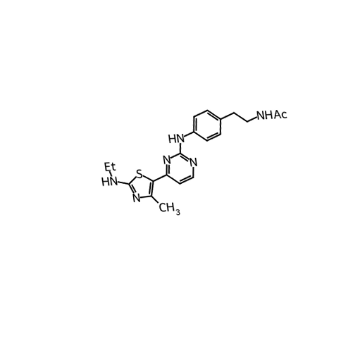 CCNc1nc(C)c(-c2ccnc(Nc3ccc(CCNC(C)=O)cc3)n2)s1